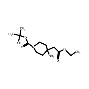 CCOC(=O)CC1(N)CCN(C(=O)OC(C)(C)C)CC1